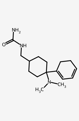 CN(C)C1(C2=CC=CCC2)CCC(CNC(N)=O)CC1